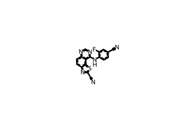 N#Cc1ccc(Nc2ncnc3ccc4nc(C#N)sc4c23)c(F)c1